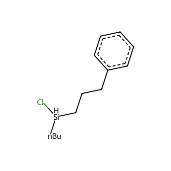 CCCC[SiH](Cl)CCCc1ccccc1